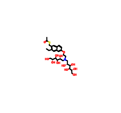 CCc1cc2cc(OCCN(C[C@@H](O)[C@@H](O)[C@H](O)[C@H](O)CO)C[C@@H](O)[C@@H](O)[C@H](O)[C@H](O)CO)ccc2cc1CSC(C)=O